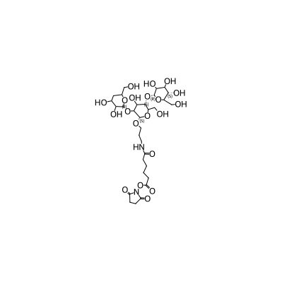 O=C(CCCCC(=O)ON1C(=O)CCC1=O)NCCCO[C@H]1OC(CO)[C@@H](O[C@H]2OC(CO)[C@@H](O)C(O)C2O)C(O)C1O[C@H]1OC(CO)CC(O)C1O